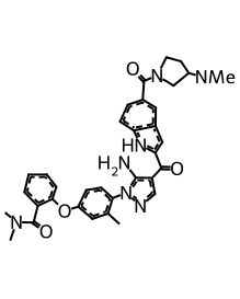 CNC1CCN(C(=O)c2ccc3[nH]c(C(=O)c4cnn(-c5ccc(Oc6ccccc6C(=O)N(C)C)cc5C)c4N)cc3c2)C1